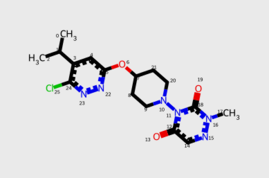 CC(C)c1cc(OC2CCN(n3c(=O)cnn(C)c3=O)CC2)nnc1Cl